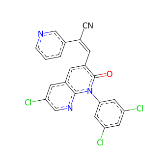 N#C/C(=C/c1cc2cc(Cl)cnc2n(-c2cc(Cl)cc(Cl)c2)c1=O)c1cccnc1